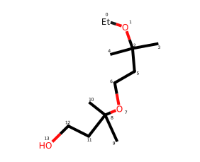 CCOC(C)(C)CCOC(C)(C)CCO